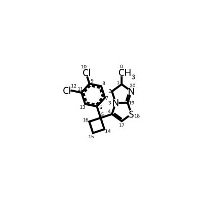 CC1CN2C(C3(c4ccc(Cl)c(Cl)c4)CCC3)=CSC2=N1